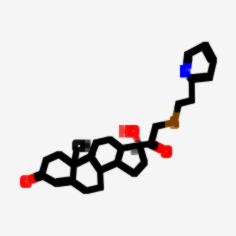 CC12CCC(=O)C=C1CCC1C3CC[C@](O)(C(=O)CSCCc4ccccn4)C3CCC12